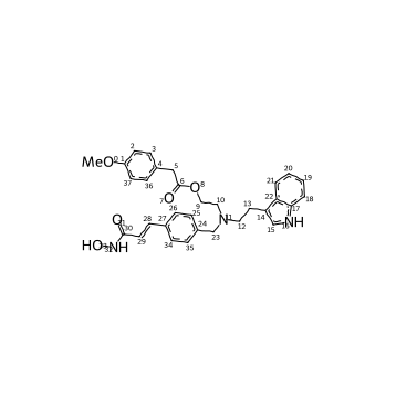 COc1ccc(CC(=O)OCCN(CCc2c[nH]c3ccccc23)Cc2ccc(/C=C/C(=O)NO)cc2)cc1